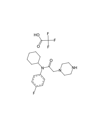 O=C(CN1CCNCC1)N(c1ccc(F)cc1)C1CCCCC1.O=C(O)C(F)(F)F